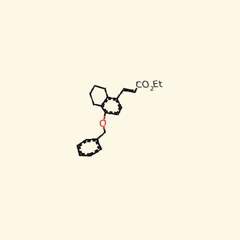 CCOC(=O)C=Cc1ccc(OCc2ccccc2)c2c1CCCC2